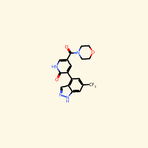 O=C(c1c[nH]c(=O)c(-c2cc(C(F)(F)F)cc3[nH]ncc23)c1)N1CCOCC1